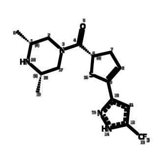 C[C@@H]1CN(C(=O)[C@@H]2CC=C(c3cc(C(F)(F)F)[nH]n3)S2)C[C@H](C)N1